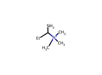 CCC([SiH3])[N+](C)(C)C